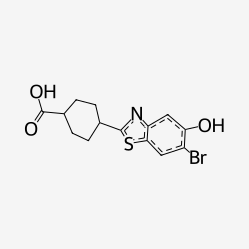 O=C(O)C1CCC(c2nc3cc(O)c(Br)cc3s2)CC1